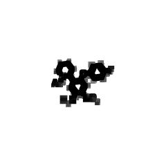 CC(=O)N1CCCCC1c1cc(N)c([N+](=O)[O-])cc1Oc1ccc(F)cc1